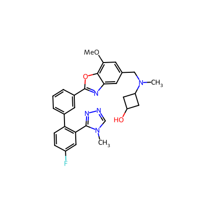 COc1cc(CN(C)C2CC(O)C2)cc2nc(-c3cccc(-c4ccc(F)cc4-c4nncn4C)c3)oc12